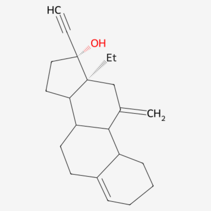 C#C[C@]1(O)CCC2C3CCC4=CCCCC4C3C(=C)C[C@@]21CC